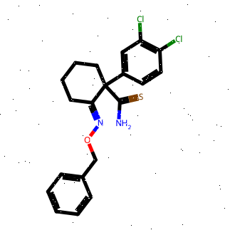 NC(=S)C1(c2ccc(Cl)c(Cl)c2)CCCCC1=NOCc1ccccc1